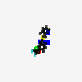 Cc1cccnc1CSc1nc2cc(OC(F)(F)Cl)ccc2[nH]1